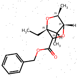 CC[C@]12O[C@@H](C)[C@H](OC1C(=O)OCc1ccccc1)[C@@H]2C